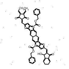 C/C=C1/C(=O)C(=Cc2cc3c(s2)c2c(n3C(=O)OCc3ccccc3)=CC3C=c4c(n(C(=O)OCc5ccccc5)c5cc(/C=C6/C(=O)C7=CCCC=C7C6O)sc45)=CC3C=2)C(=O)/C1=C/C